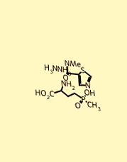 CNC(=O)c1cncs1.CP(=O)(O)CCC(N)C(=O)O.N.N